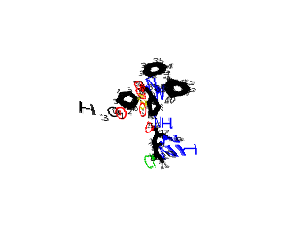 COc1cccc(S(=O)(=O)c2cc(NC(=O)c3cnc4[nH]cc(Cl)c4c3)cc3c2c(=O)n(-c2ccccc2)n3-c2ccccc2)c1